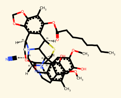 CCCCCCCC(=O)Oc1c(C)c2c(c3c1[C@H]1SC[C@]4(NCCc5cc(O)c(OC)cc54)C(=O)OC[C@@H]3N3C1[C@H]1c4c(cc(C)c(OC)c4O)C[C@H]([C@@H]3C#N)N1C)OCO2